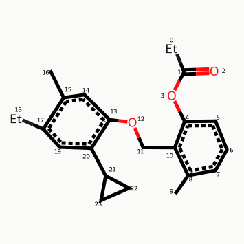 CCC(=O)Oc1cccc(C)c1COc1cc(C)c(CC)cc1C1CC1